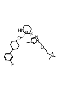 Cc1cn(COCC[Si](C)(C)C)nc1[C@H]1CCCN[C@H]1COC1CCC(c2cccc(F)c2)CC1